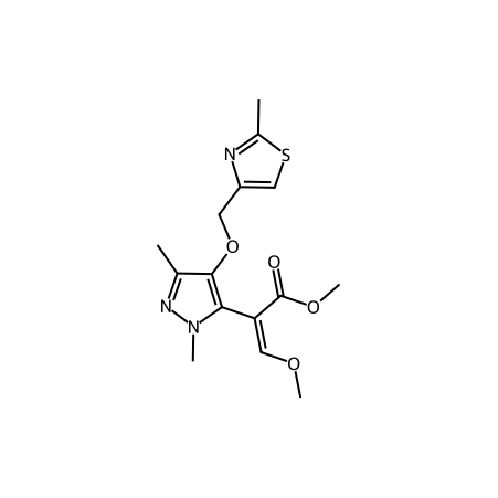 COC=C(C(=O)OC)c1c(OCc2csc(C)n2)c(C)nn1C